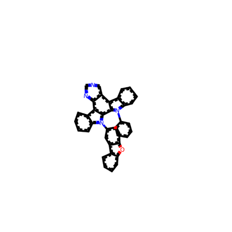 c1ccc(-n2c3ccccc3c3c4cncnc4c4c5ccccc5n(-c5ccc6oc7ccccc7c6c5)c4c32)cc1